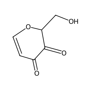 O=C1C=COC(CO)C1=O